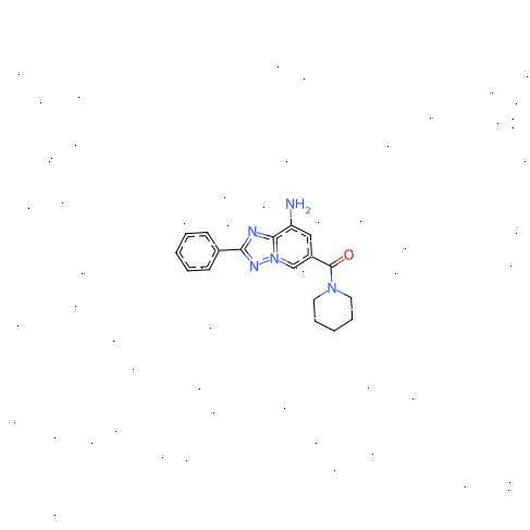 Nc1cc(C(=O)N2CCCCC2)cn2nc(-c3ccccc3)nc12